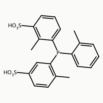 Cc1ccccc1P(c1cc(S(=O)(=O)O)ccc1C)c1cccc(S(=O)(=O)O)c1C